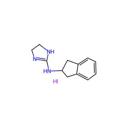 I.c1ccc2c(c1)CC(NC1=NCCN1)C2